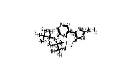 [2H]C([2H])([2H])C([2H])([2H])N(c1cncc(-c2sc(N)nc2C)n1)C([2H])([2H])C([2H])([2H])[2H]